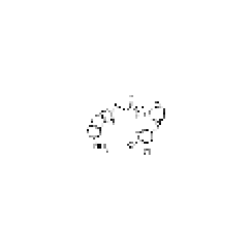 Nc1ccc2c(c1)-c1nc(SCC(=O)NC[C@H]3CN(Cc4ccc(Cl)c(Cl)c4)CCO3)sc1C2